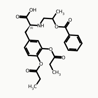 CCC(=O)Oc1ccc(C[C@H](NCC(C)OC(=O)c2ccccc2)C(=O)O)cc1OC(=O)CC